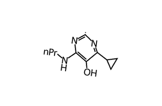 CCCNc1n[c]nc(C2CC2)c1O